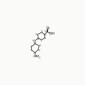 NC1CCC(OC2CCC(C(=O)O)CC2)CC1